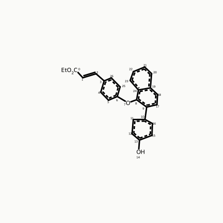 CCOC(=O)C=Cc1ccc(Oc2c(-c3ccc(O)cc3)ccc3ccccc23)cc1